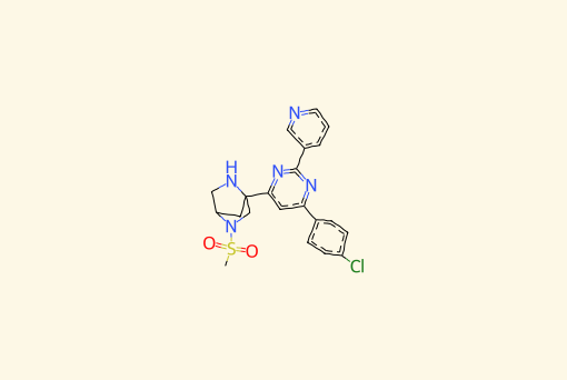 CS(=O)(=O)N1CC2(c3cc(-c4ccc(Cl)cc4)nc(-c4cccnc4)n3)CC1CN2